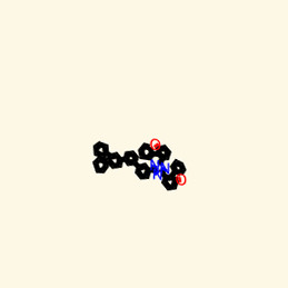 c1cc(-c2cccc(-c3nc(-c4cccc5oc6ccccc6c45)nc(-c4cccc5oc6ccccc6c45)n3)c2)cc(-c2ccc3c(c2)-c2ccccc2C32CCCCC2)c1